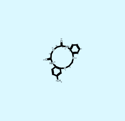 Cc1ccc2c(c1)OCCOc1ccccc1NC(=O)COCC(=O)N2